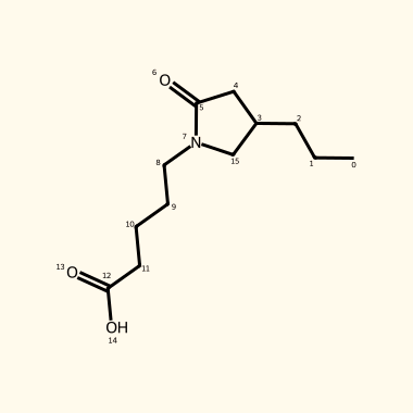 CCCC1CC(=O)N(CCCCC(=O)O)C1